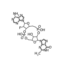 Cc1nc2c(ncn2C2OC3COP(=O)(O)OC4C(CCP(=O)(O)OC2C3O)OC(n2cnc3c(N)ncnc32)C4F)c(=O)[nH]1